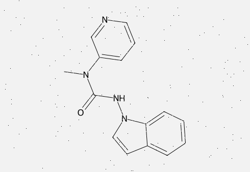 CN(C(=O)Nn1ccc2ccccc21)c1cccnc1